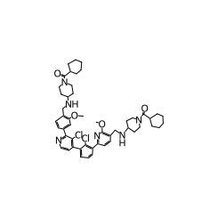 COc1cc(-c2nccc(-c3cccc(-c4ccc(CNC5CCN(C(=O)C6CCCCC6)CC5)c(OC)n4)c3Cl)c2Cl)ccc1CNC1CCN(C(=O)C2CCCCC2)CC1